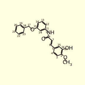 COc1ccc(/C=C/C(=O)Nc2cccc(OCc3ccccc3)c2)cc1O